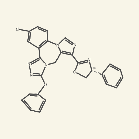 Clc1ccc2c(c1)-c1nnc(Oc3ccccc3)n1Cc1c(C3=N[C@H](c4ccccc4)CO3)ncn1-2